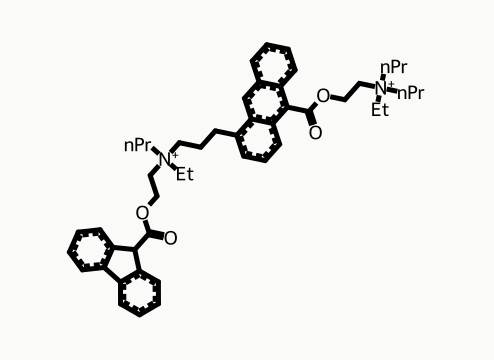 CCC[N+](CC)(CCC)CCOC(=O)c1c2ccccc2cc2c(CCC[N+](CC)(CCC)CCOC(=O)C3c4ccccc4-c4ccccc43)cccc12